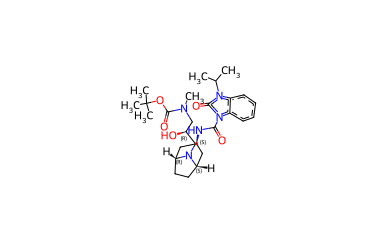 CC(C)n1c(=O)n(C(=O)N[C@@H]2C[C@H]3CC[C@@H](C2)N3C[C@@H](O)CN(C)C(=O)OC(C)(C)C)c2ccccc21